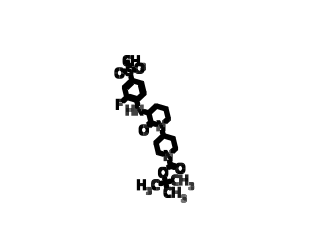 CC(C)(C)OC(=O)N1CCC(N2CCCC(Nc3ccc(S(C)(=O)=O)cc3F)C2=O)CC1